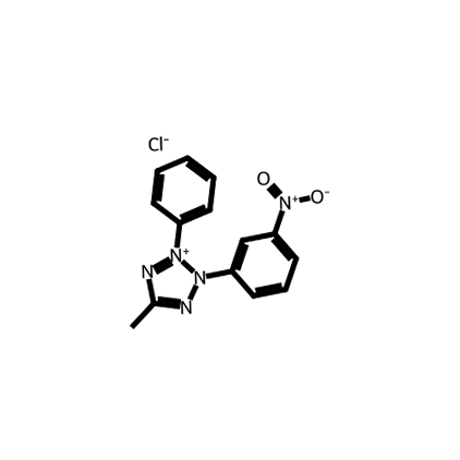 Cc1nn(-c2cccc([N+](=O)[O-])c2)[n+](-c2ccccc2)n1.[Cl-]